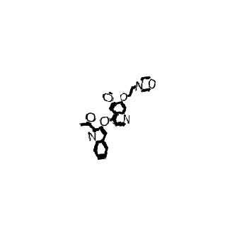 COc1cc2c(Oc3cc4ccccc4nc3C(C)=O)ccnc2cc1OCCN1CCOCC1